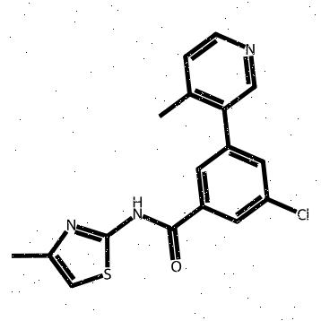 Cc1csc(NC(=O)c2cc(Cl)cc(-c3cnccc3C)c2)n1